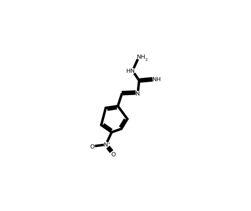 N=C(N=Cc1ccc([N+](=O)[O-])cc1)NN